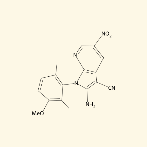 COc1ccc(C)c(-n2c(N)c(C#N)c3cc([N+](=O)[O-])cnc32)c1C